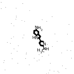 CNc1ccc(-c2cc3cc(N)ccc3[nH]2)cn1